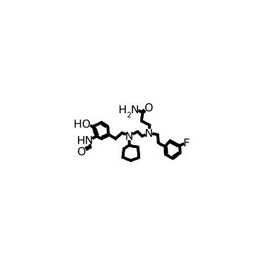 NC(=O)CCN(CCc1cccc(F)c1)CCN(CCc1ccc(O)c(NC=O)c1)C1CCCCC1